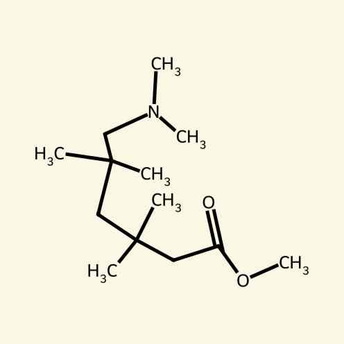 COC(=O)CC(C)(C)CC(C)(C)CN(C)C